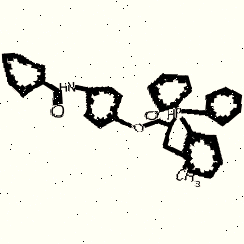 CCCC(C(=O)Oc1ccc(NC(=O)c2ccccc2)cc1)[PH](c1ccccc1)(c1ccccc1)c1ccccc1